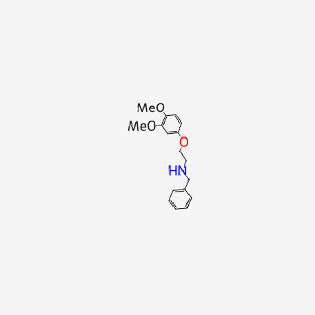 COc1ccc(OCCNCc2ccccc2)cc1OC